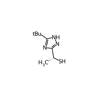 C[C@@H](S)c1n[nH]c(C(C)(C)C)n1